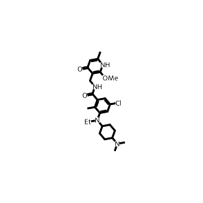 CCN(c1cc(Cl)cc(C(=O)NCc2c(OC)[nH]c(C)cc2=O)c1C)C1CCC(N(C)C)CC1